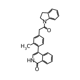 Cc1cc(CC(=O)N2CCc3ccccc32)ccc1-c1c[nH]c(=O)c2ccccc12